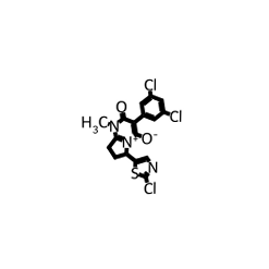 Cn1c2[n+](c([O-])c(-c3cc(Cl)cc(Cl)c3)c1=O)C(c1cnc(Cl)s1)CC2